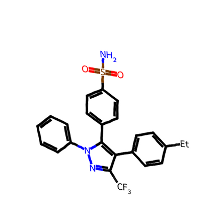 CCc1ccc(-c2c(C(F)(F)F)nn(-c3ccccc3)c2-c2ccc(S(N)(=O)=O)cc2)cc1